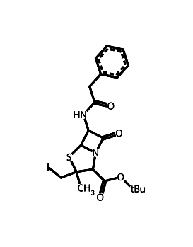 CC(C)(C)OC(=O)C1N2C(=O)C(NC(=O)Cc3ccccc3)C2SC1(C)CI